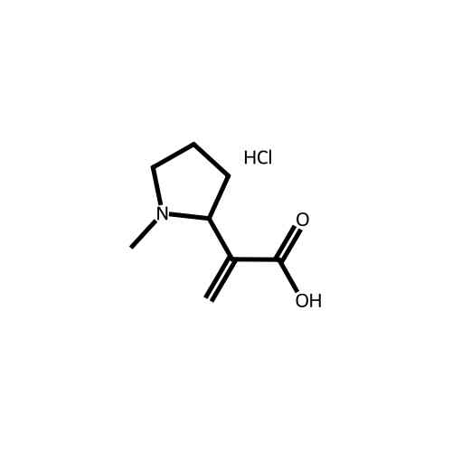 C=C(C(=O)O)C1CCCN1C.Cl